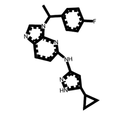 CC(c1ccc(F)cc1)n1cnc2ccc(Nc3cc(C4CC4)[nH]n3)nc21